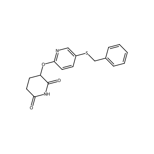 O=C1CCC(Oc2ccc(SCc3ccccc3)cn2)C(=O)N1